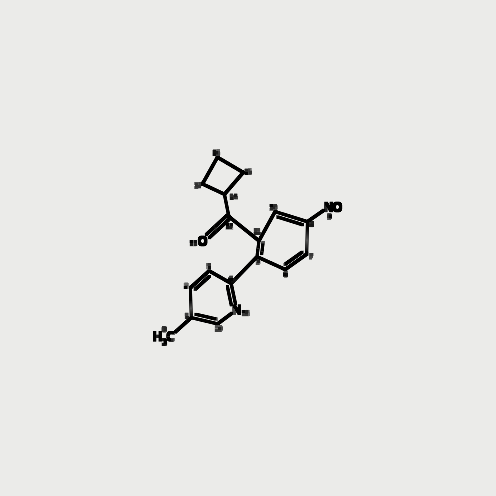 Cc1ccc(-c2ccc(N=O)cc2C(=O)C2CCC2)nc1